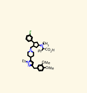 CCn1nc(Cc2ccc(OC)c(OC)c2)cc1C1CCN(CC2CC(N(C)[C@@H](C(=O)O)C(C)C)CC2c2cccc(F)c2)CC1